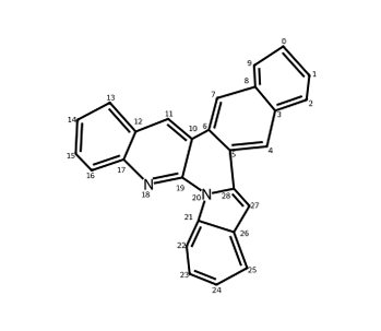 c1ccc2cc3c(cc2c1)c1cc2ccccc2nc1n1c2ccccc2cc31